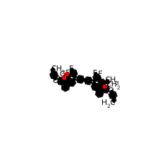 C=Cc1ccc(Oc2ccc(C3(c4cccc(C)c4)c4ccccc4-c4ccc(N(c5ccc(-c6ccc(N(c7ccc(F)c(F)c7)c7ccc8c(c7)C(c7ccc(Oc9ccc(C=C)cc9)cc7)(c7cccc(C(=C)C)c7)c7ccccc7-8)cc6)cc5)c5ccc(F)c(F)c5)cc43)cc2)cc1